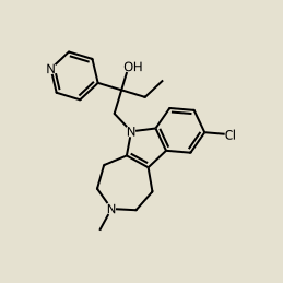 CCC(O)(Cn1c2c(c3cc(Cl)ccc31)CCN(C)CC2)c1ccncc1